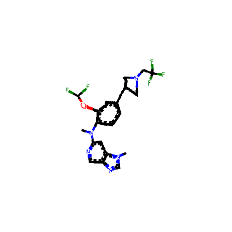 CN(c1cc2c(cn1)ncn2C)c1ccc(C2CN(CC(F)(F)F)C2)cc1OC(F)F